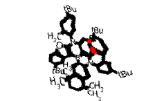 Cc1cc2c3c(c1)N(C1C=CC(C(C)(C)C)=CC1C)c1oc4ccc(C(C)(C)C)cc4c1B3c1cc3c(cc1N2c1ccc(C(C)(C)C)cc1-c1ccc(C(C)(C)C)cc1)C(C)(C)CCC3(C)C